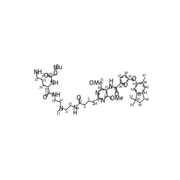 COc1nc(SCCC(=O)NCCN(C)CCNC(=O)[C@@H](CCCN)NC(=O)OC(C)(C)C)nc(OC)c1NC(=O)c1ccc(Oc2cc3c(cc2C)CCC3(C)C)o1